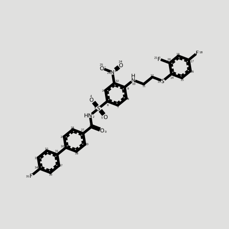 O=C(NS(=O)(=O)c1ccc(NCCSc2ccc(F)cc2F)c([N+](=O)[O-])c1)c1ccc(-c2ccc(F)cc2)cc1